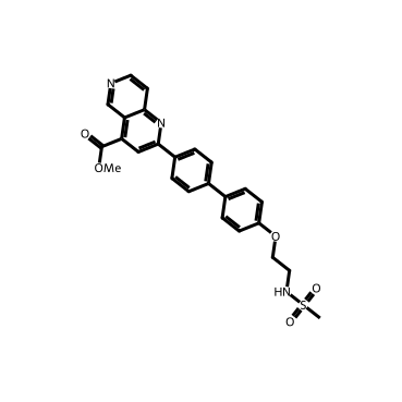 COC(=O)c1cc(-c2ccc(-c3ccc(OCCNS(C)(=O)=O)cc3)cc2)nc2ccncc12